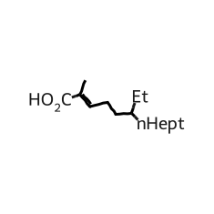 CCCCCCCC(CC)CCC=C(C)C(=O)O